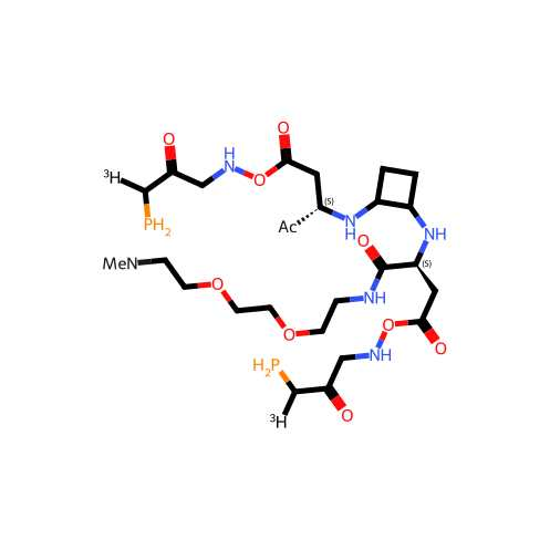 [3H]C(P)C(=O)CNOC(=O)C[C@H](NC1CCC1N[C@@H](CC(=O)ONCC(=O)C([3H])P)C(=O)NCCOCCOCCNC)C(C)=O